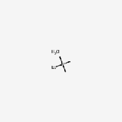 CC[N+](C)(C)C.O